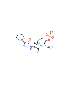 NC(C(=O)N[C@@H]1C(=O)N2C(C(=O)O)=C(OS(=O)(=O)C(F)(F)F)CC[C@@H]12)c1ccccc1